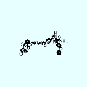 NC(=O)c1c(-c2ccc(Oc3ccccc3)cc2)nn2c1NCCC2C1CCN(C(=O)COCCOCCSc2cccc3c2C(=O)N(C2CCC(=O)NC2=O)C3=O)CC1